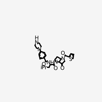 CC(C)CC(NC(=O)c1ccc(N2CCNCC2)cc1)C(=O)N1CCC2C1C(=O)CN2C(=O)c1cccs1